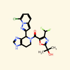 CC(C)(O)c1nc(C(F)F)c(C(=O)N2CCc3[nH]cnc3C2c2cc3cccc(Cl)n3n2)o1